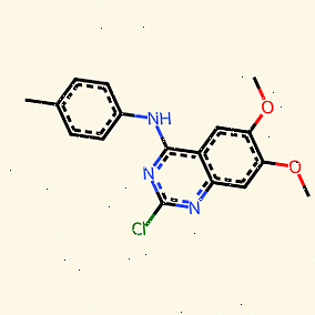 COc1cc2nc(Cl)nc(Nc3ccc(C)cc3)c2cc1OC